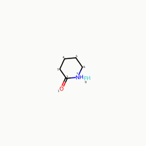 F.O=C1CCCCN1